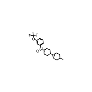 CC1CCN(C2CCN([S+]([O-])c3cccc(OC(C)(F)F)c3)CC2)CC1